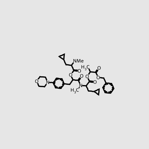 CNC(CC1CC1)C(=O)OC(Cc1ccc(N2CCOCC2)cc1)C(=O)N(C)C(CC1CC1)C(=O)OC(C)C(=O)OCc1ccccc1